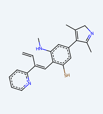 C=C/C(=C\c1c(S)cc(C2=C(C)CN=C2C)cc1NC)c1ccccn1